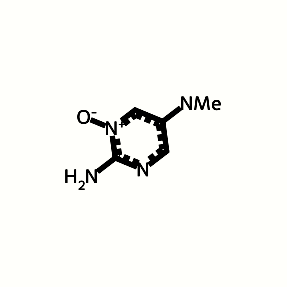 CNc1cnc(N)[n+]([O-])c1